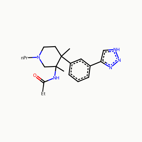 CCCN1CCC(C)(c2cccc(-c3c[nH]nn3)c2)C(C)(NC(=O)CC)C1